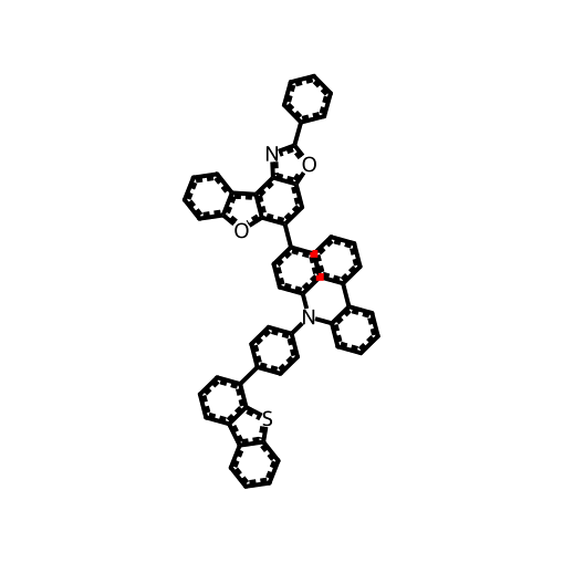 c1ccc(-c2nc3c(cc(-c4ccc(N(c5ccc(-c6cccc7c6sc6ccccc67)cc5)c5ccccc5-c5ccccc5)cc4)c4oc5ccccc5c43)o2)cc1